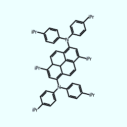 CC(C)C1=CC(N(c2ccc(C(C)C)cc2)c2ccc(C(C)C)cc2)=C2C=Cc3c(C(C)C)cc(N(c4ccc(C(C)C)cc4)c4ccc(C(C)C)cc4)c4c3C2C1C=C4